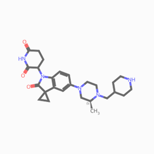 C[C@H]1CN(c2ccc3c(c2)C2(CC2)C(=O)N3C2CCC(=O)NC2=O)CCN1CC1CCNCC1